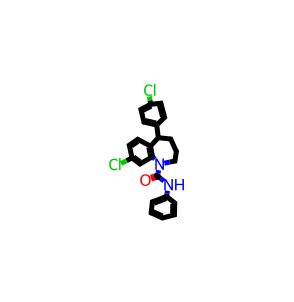 O=C(Nc1ccccc1)N1CCCC(c2ccc(Cl)cc2)c2ccc(Cl)cc21